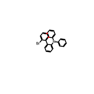 Brc1ccccc1-c1ccccc1N(c1ccccc1)c1ccccc1